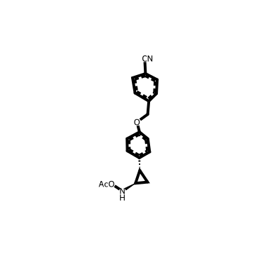 CC(=O)ON[C@@H]1C[C@H]1c1ccc(OCc2ccc(C#N)cc2)cc1